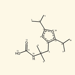 CC(C)c1cc(CC(C)(C)NC(=O)O)c(C(C)C)s1